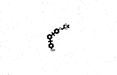 CC1(C)OCC(COc2ccc(C(C)(C)c3cccc(C(C)(C)c4ccc(O)cc4)c3)cc2)O1